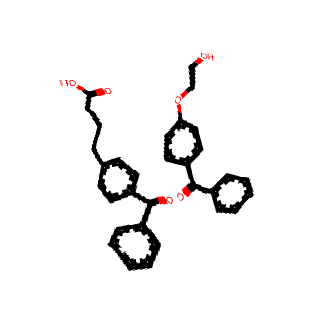 O=C(O)CCCc1ccc(C(=O)c2ccccc2)cc1.O=C(c1ccccc1)c1ccc(OCCO)cc1